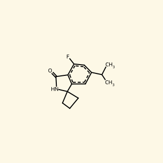 CC(C)c1cc(F)c2c(c1)C1(CCC1)NC2=O